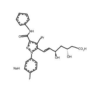 CC(C)c1c(C(=O)Nc2ccccc2)nn(-c2ccc(F)cc2)c1/C=C/[C@H](O)C[C@@H](O)CC(=O)O.[NaH]